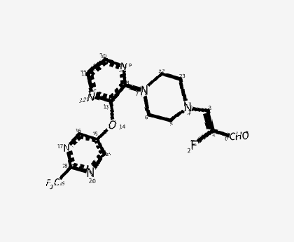 O=CC(F)=CN1CCN(c2nccnc2Oc2cnc(C(F)(F)F)nc2)CC1